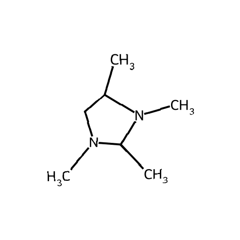 CC1CN(C)C(C)N1C